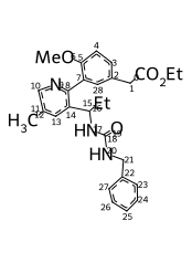 CCOC(=O)Cc1ccc(OC)c(-c2ncc(C)cc2C(CC)NC(=O)NCc2ccccc2)c1